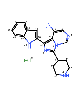 Cl.Nc1cncn2c(C3CCNCC3)nc(-c3cc4ccccc4[nH]3)c12